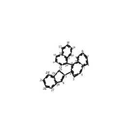 C1=C(c2ccc3ccccc3c2-c2cccc3ccccc23)Cc2ccccc21